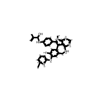 C=C(C)C(O)Nc1ccc(-c2c3c4c(ncnc4n2C)NCc2cc(Oc4cccc(C)n4)c(F)cc2-3)cc1